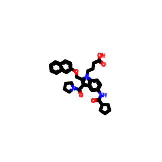 O=C(O)CCCn1c(COc2ccc3ccccc3c2)c(C(=O)N2CCCC2)c2cc(NC(=O)C3CCCC3)ccc21